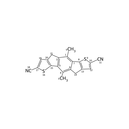 Cc1c2c(c(C)c3c1-c1sc(C#N)cc1C3)-c1sc(C#N)cc1C2